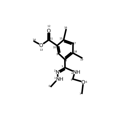 CN/N=C(\NCOC)c1cc(C(=O)OC)c(C)cc1C